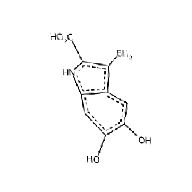 Bc1c(C(=O)O)[nH]c2cc(O)c(O)cc12